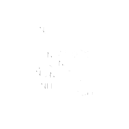 CC(=O)OC[C@@H]1C[C@@H](OC(C)=O)[C@H](n2c(=O)n(CCC#N)c3cnc(N)nc32)O1